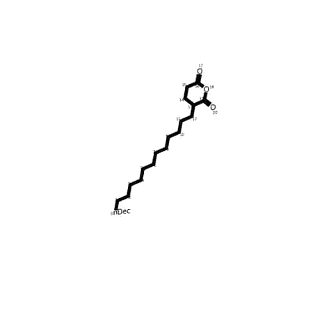 CCCCCCCCCCCCCCCCCCCCCCC1CCC(=O)OC1=O